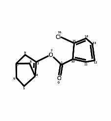 O=C(OC1=C2CCC(C2)C1)c1ccccc1Cl